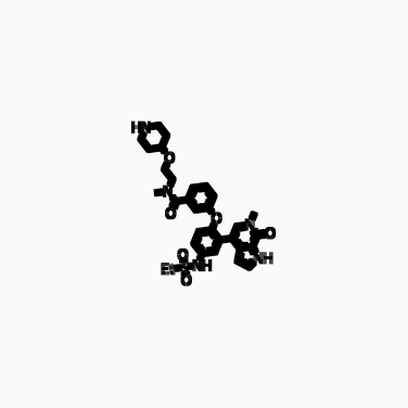 CCS(=O)(=O)Nc1ccc(Oc2cccc(C(=O)N(C)CCOC3CCNCC3)c2)c(-c2cn(C)c(=O)c3[nH]ccc23)c1